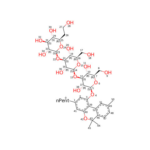 CCCCCc1cc(O[C@@H]2O[C@H](CO)[C@@H](O)[C@H](O[C@@H]3O[C@H](CO)[C@@H](O)[C@H](O[C@@H]4O[C@H](CCO)[C@@H](O)[C@H](O)[C@H]4O)[C@H]3O)[C@H]2O)c2c(c1)OC(C)(C)c1ccc(C)cc1-2